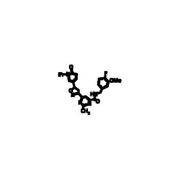 COc1cc(CNC(=O)c2cc(C3=NOC(c4ccc(=O)n(C(C)C)c4)C3)nc(C)n2)ccc1F